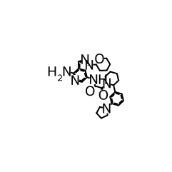 Nc1ncc(NC(=O)C(=O)N2CCCCC2c2cccc(N3CCCC3)c2)c2c1cnn2C1CCCCO1